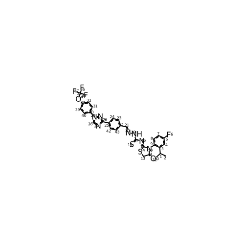 CC(C)c1cc(F)ccc1N1C(=O)CS/C1=N\C(=S)N/N=C/c1ccc(-c2ncn(-c3ccc(OC(F)(F)F)cc3)n2)cc1